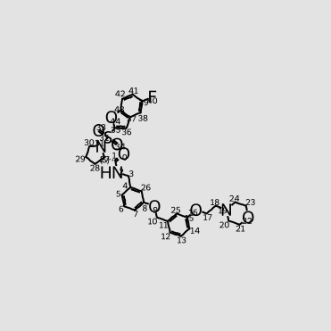 O=C(NCc1cccc(OCc2cccc(OCCN3CCOCC3)c2)c1)[C@@H]1CCCN1S(=O)(=O)c1cc2cc(F)ccc2o1